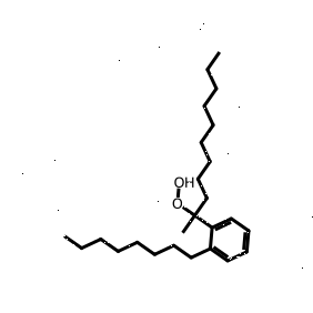 CCCCCCCCCC(C)(OO)c1ccccc1CCCCCCCC